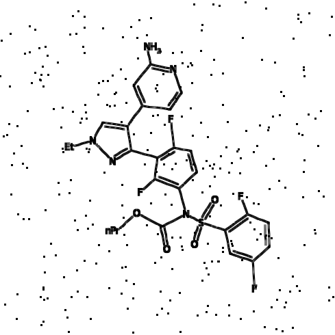 CCCOC(=O)N(c1ccc(F)c(-c2nn(CC)cc2-c2ccnc(N)c2)c1F)S(=O)(=O)c1cc(F)ccc1F